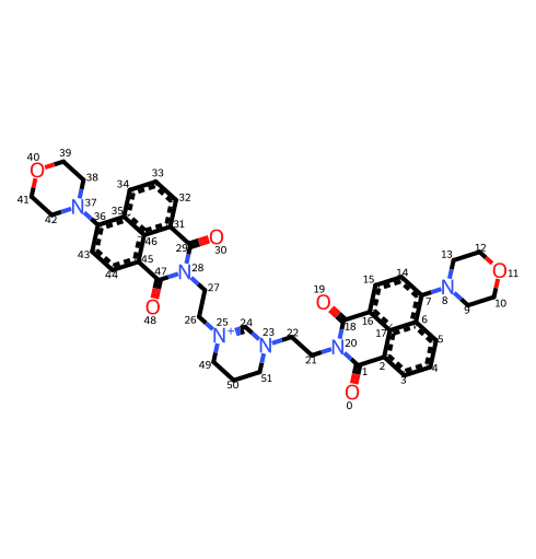 O=C1c2cccc3c(N4CCOCC4)ccc(c23)C(=O)N1CCN1C=[N+](CCN2C(=O)c3cccc4c(N5CCOCC5)ccc(c34)C2=O)CCC1